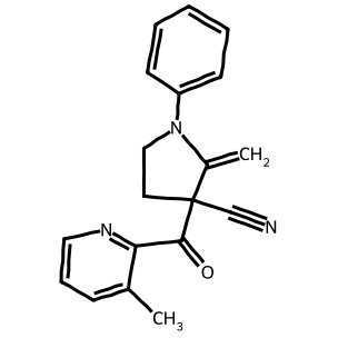 C=C1N(c2ccccc2)CCC1(C#N)C(=O)c1ncccc1C